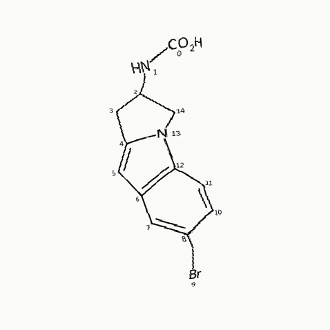 O=C(O)NC1Cc2cc3cc(Br)ccc3n2C1